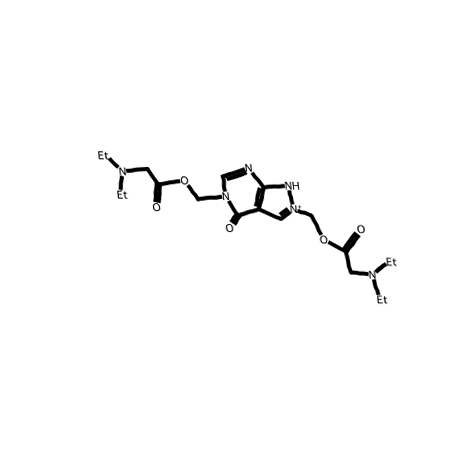 CCN(CC)CC(=O)OCn1cnc2[nH][n+](COC(=O)CN(CC)CC)cc2c1=O